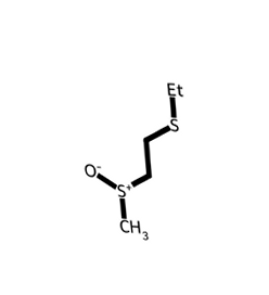 CCSCC[S+](C)[O-]